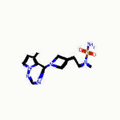 Cc1ccn2ncnc(N3CC(CCN(C)S(N)(=O)=O)C3)c12